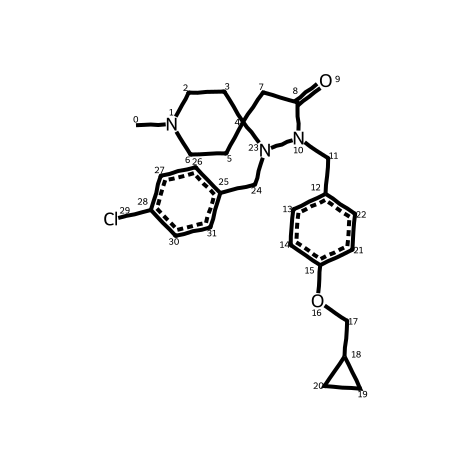 CN1CCC2(CC1)CC(=O)N(Cc1ccc(OCC3CC3)cc1)N2Cc1ccc(Cl)cc1